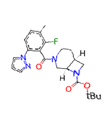 Cc1ccc(-n2cccn2)c(C(=O)N2CC[C@H]3CN(C(=O)OC(C)(C)C)[C@H]3C2)c1F